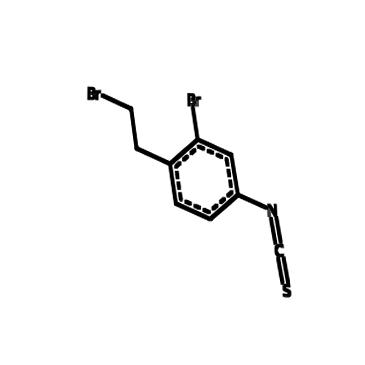 S=C=Nc1ccc(CCBr)c(Br)c1